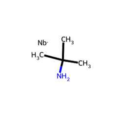 CC(C)(C)N.[Nb]